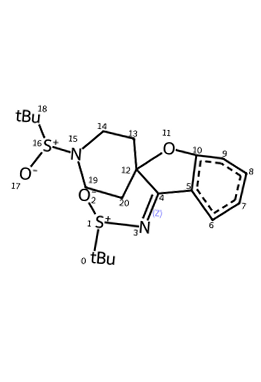 CC(C)(C)[S+]([O-])/N=C1/c2ccccc2OC12CCN([S+]([O-])C(C)(C)C)CC2